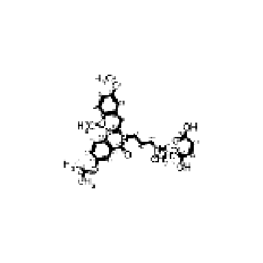 COc1ccc(OC)c(Cc2nc3ccc(OC(C)C)cc3c(=O)n2CCCN(C)C)c1.O=C(O)/C=C\C(=O)O